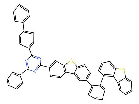 c1ccc(-c2ccc(-c3nc(-c4ccccc4)nc(-c4ccc5c(c4)sc4ccc(-c6ccccc6-c6cccc7sc8ccccc8c67)cc45)n3)cc2)cc1